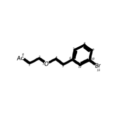 CC(=O)CCOCCc1cccc(Br)c1